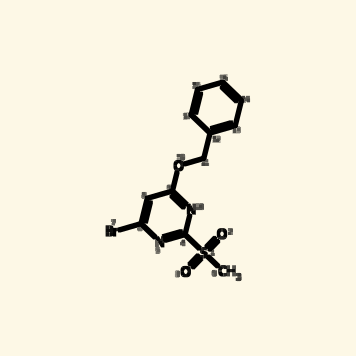 CS(=O)(=O)c1nc(Br)cc(OCc2ccccc2)n1